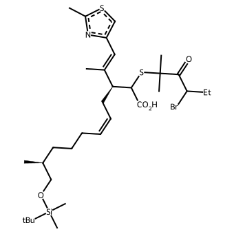 CCC(Br)C(=O)C(C)(C)SC(C(=O)O)[C@@H](C/C=C\CCC[C@H](C)CO[Si](C)(C)C(C)(C)C)/C(C)=C/c1csc(C)n1